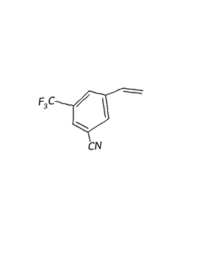 C=Cc1cc(C#N)cc(C(F)(F)F)c1